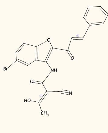 C/C(O)=C(\C#N)C(=O)Nc1c(C(=O)/C=C/c2ccccc2)oc2ccc(Br)cc12